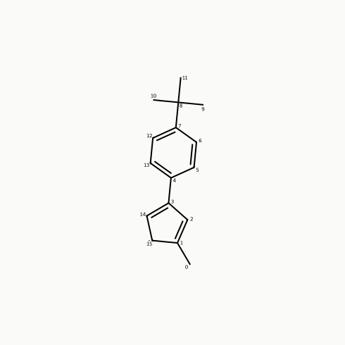 CC1=CC(c2ccc(C(C)(C)C)cc2)=C[CH]1